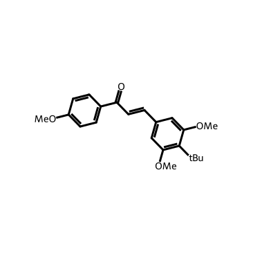 COc1ccc(C(=O)C=Cc2cc(OC)c(C(C)(C)C)c(OC)c2)cc1